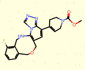 COC(=O)N1CC=C(c2cc3c(n4cnnc24)NCc2c(F)cccc2COC3)CC1